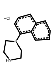 Cl.c1ccc2c(N3CCNCC3)cccc2c1